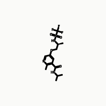 Cc1ncc(OC[C@H](C)NS(=O)(=O)C(F)(F)F)cc1C(=O)NC(C)C